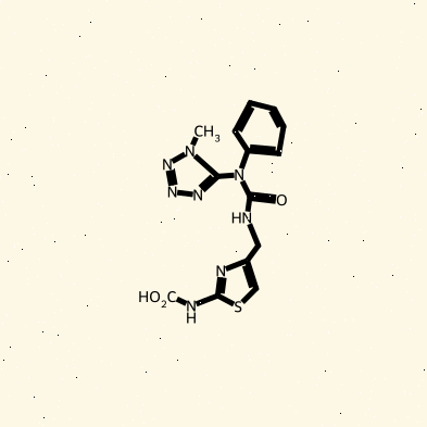 Cn1nnnc1N(C(=O)NCc1csc(NC(=O)O)n1)c1ccccc1